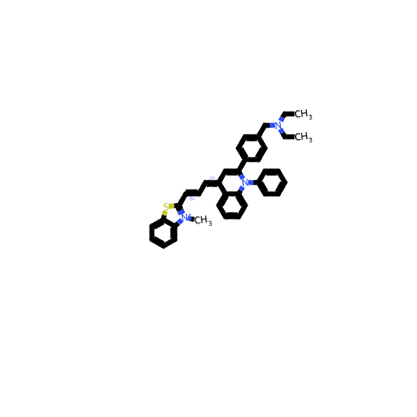 CCN(CC)Cc1ccc(C2=C/C(=C/C=C/c3sc4ccccc4[n+]3C)c3ccccc3N2c2ccccc2)cc1